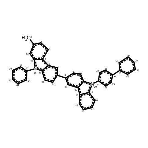 Cc1ccc2c3cc(-c4ccc5c(c4)c4ccccc4n5-c4ccc(-c5ccccc5)cc4)ccc3n(-c3ccccc3)c2c1